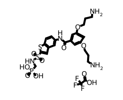 NCCCOc1cc(OCCCN)cc(C(=O)Nc2ccc3sc(S(=O)(=O)NCP(=O)(O)O)cc3c2)c1.O=C(O)C(F)(F)F